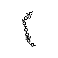 Cc1ccc(Cc2ccc(S(=O)(=O)c3ccc(-c4ccc(C(C)(C)c5ccc(Oc6ccc(S(=O)(=O)c7ccc(C)cc7)cc6)cc5)cc4)cc3)cc2)cc1